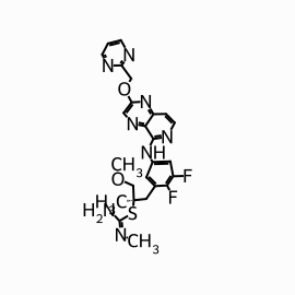 C/N=C(/N)S[C@@](C)(COC)Cc1cc(Nc2nccc3nc(OCc4ncccn4)cnc23)cc(F)c1F